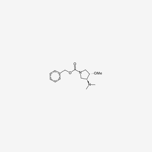 CO[C@H]1CN(C(=O)OCc2ccccc2)C[C@@H]1N(C)C